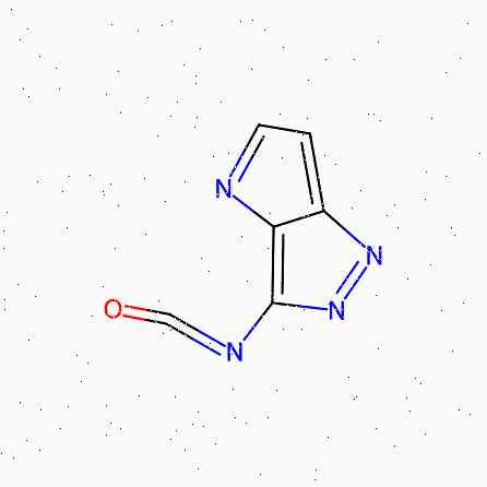 O=C=NC1=C2N=CC=C2N=N1